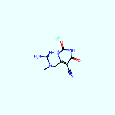 CN(Cc1[nH]c(=O)[nH]c(=O)c1C#N)C(=N)N.Cl